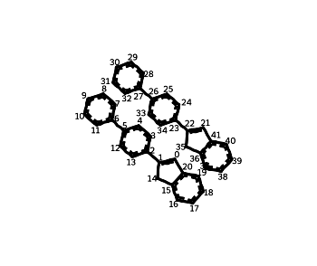 C1=C(c2ccc(-c3ccccc3)cc2)Cc2ccccc21.C1=C(c2ccc(-c3ccccc3)cc2)Cc2ccccc21